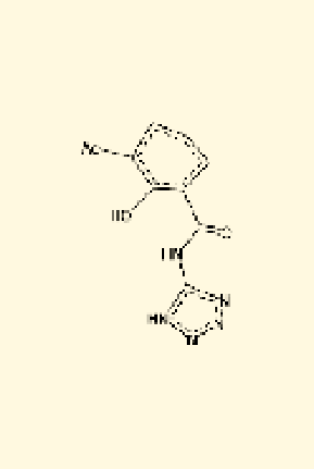 CC(=O)c1cccc(C(=O)Nc2nnn[nH]2)c1O